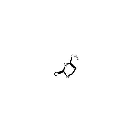 CC1=CC[N]C(=O)[N]1